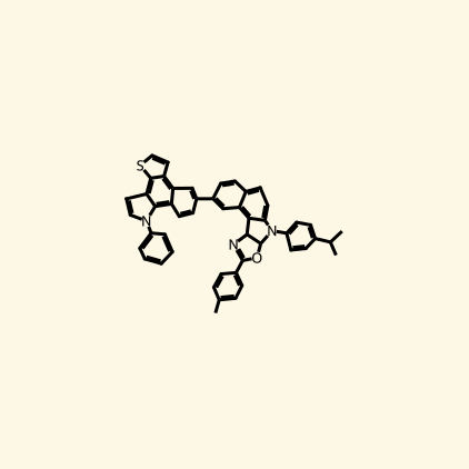 Cc1ccc(C2=NC3c4c(ccc5ccc(-c6ccc7c(c6)c6ccsc6c6ccn(-c8ccccc8)c76)cc45)N(c4ccc(C(C)C)cc4)C3O2)cc1